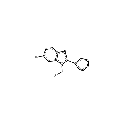 Fc1ccc2nc(-c3cccnc3)n(CC(F)(F)F)c2c1